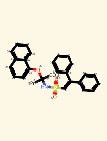 CCCC(NS(=O)(=O)C=C(c1ccccc1)c1ccccc1)(Oc1cccc2ccccc12)C(=O)O